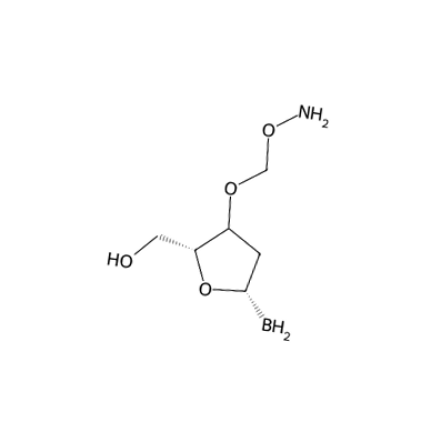 B[C@H]1CC(OCON)[C@@H](CO)O1